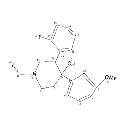 COc1cccc(C2(O)CCN(CI)CC2c2ccccc2F)c1